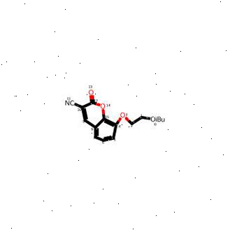 CC(C)COCCOc1cccc2cc(C#N)c(=O)oc12